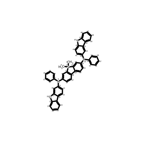 C[Si]1(C)c2cc(N(c3ccccc3)c3ccc4c(c3)oc3ccccc34)ccc2-c2ccc(N(c3ccccc3)c3ccc4sc5ccccc5c4c3)cc21